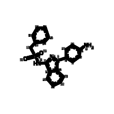 Nc1ccc(-n2nc(NS(=O)(=O)Cc3ccccc3)c3ccccc32)cc1